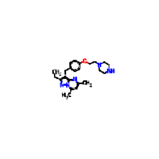 CCc1nn2c(C)cc(C)nc2c1Cc1ccc(OCCN2CCNCC2)cc1